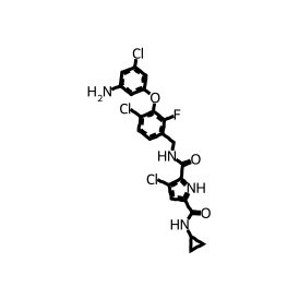 Nc1cc(Cl)cc(Oc2c(Cl)ccc(CNC(=O)c3[nH]c(C(=O)NC4CC4)cc3Cl)c2F)c1